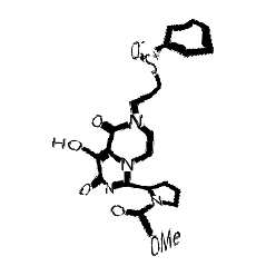 COC(=O)N1CCCC1c1nc(=O)c(O)c2n1CCN(CC[S+]([O-])c1ccccc1)C2=O